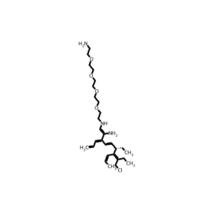 C=C/C=C(\C=C\[C@H](CC)C(/C=C\C)=C(\CC)CCl)C(/N)=C/NCCOCCOCCOCCOCCN